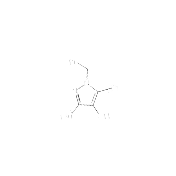 CC(C)Cn1nc(C(C)(C)C)c(O)c1C(C)C